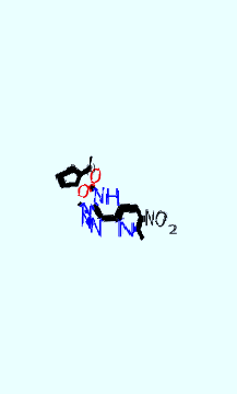 Cc1nc(-c2nnn(C)c2NC(=O)O[C@H](C)C2CCCC2)ccc1[N+](=O)[O-]